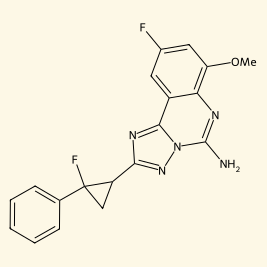 COc1cc(F)cc2c1nc(N)n1nc(C3CC3(F)c3ccccc3)nc21